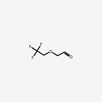 O=CCOCC(F)(F)F